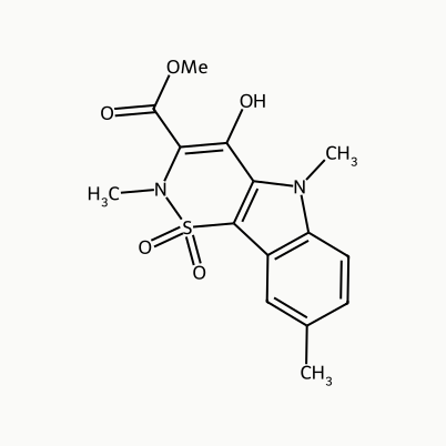 COC(=O)C1=C(O)c2c(c3cc(C)ccc3n2C)S(=O)(=O)N1C